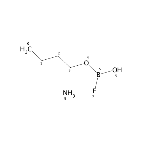 CCCCOB(O)F.N